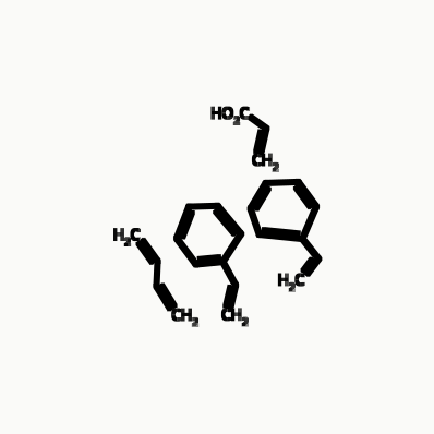 C=CC(=O)O.C=CC=C.C=Cc1ccccc1.C=Cc1ccccc1